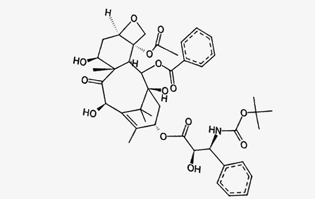 CC(=O)O[C@@]12CO[C@@H]1C[C@H](O)[C@@]1(C)C(=O)[C@H](O)C3=C(C)[C@@H](OC(=O)[C@H](O)[C@@H](NC(=O)OC(C)(C)C)c4ccccc4)C[C@@](O)(C(OC(=O)c4ccccc4)[C@H]21)C3(C)C